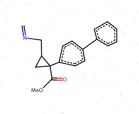 C=NCC1CC1(C(=O)OC)c1ccc(-c2ccccc2)cc1